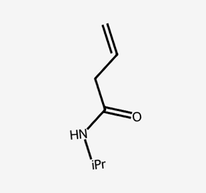 C=CCC(=O)NC(C)C